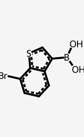 OB(O)c1csc2c(Br)cccc12